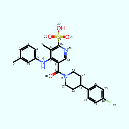 Cc1cccc(Nc2c(C(=O)N3CCC(c4ccc(F)cc4)CC3)cnc(S(=O)(=O)O)c2C)c1